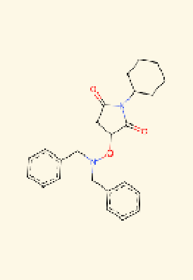 O=C1CC(ON(Cc2ccccc2)Cc2ccccc2)C(=O)N1C1CCCCC1